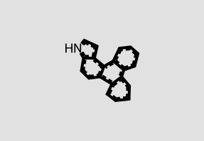 c1ccc2c(c1)c1ccccc1c1c3cc[nH]c3ccc21